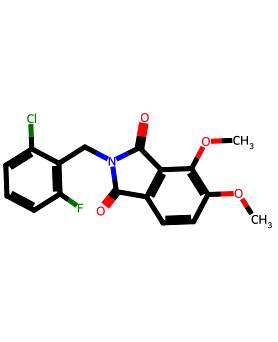 COc1ccc2c(c1OC)C(=O)N(Cc1c(F)cccc1Cl)C2=O